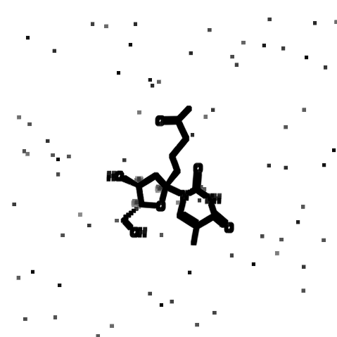 CC(=O)CCC[C@]1(n2cc(C)c(=O)[nH]c2=O)C[C@H](O)[C@@H](CO)O1